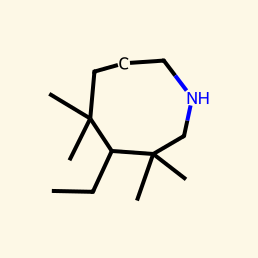 CCC1C(C)(C)CCCNCC1(C)C